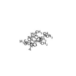 C=CC(=O)Nc1cc(Nc2ncc(P(C)(C)=O)c(-c3cn(C4CC4)c4ccccc34)n2)c(OC)cc1N(C)CCN(C)C